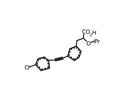 CC(C)OC(Cc1cccc(C#Cc2ccc(Cl)cc2)c1)C(=O)O